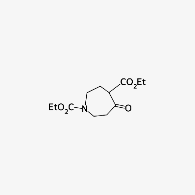 CCOC(=O)C1CCN(C(=O)OCC)CCC1=O